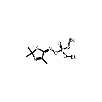 CCOP(=O)(ON=C1SC(C)(C)N=C1C)SC(C)CC